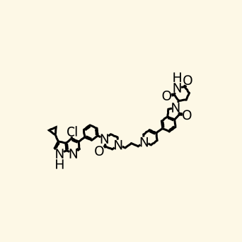 O=C1CCC(N2Cc3cc(C4=CCN(CCCN5CCN(c6cccc(-c7cnc8[nH]cc(C9CC9)c8c7Cl)c6)C(=O)C5)CC4)ccc3C2=O)C(=O)N1